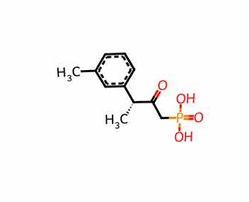 Cc1cccc([C@@H](C)C(=O)CP(=O)(O)O)c1